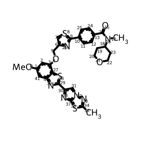 COc1cc(OCc2csc(-c3ccc(C(=O)N(C)C4CCOCC4)cc3)n2)c2sc(-c3cn4nc(C)sc4n3)nc2c1